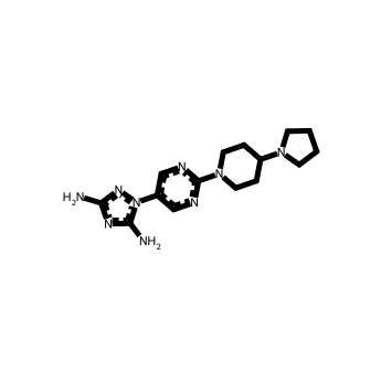 Nc1nc(N)n(-c2cnc(N3CCC(N4CCCC4)CC3)nc2)n1